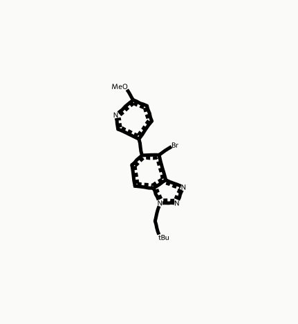 COc1ccc(-c2ccc3c(nnn3CC(C)(C)C)c2Br)cn1